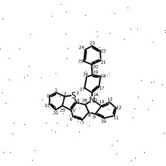 C1=CC2SC3=C(C=CC4c5ccccc5N(C5=CC=C(c6ccccc6)CC5)C34)C2C=C1